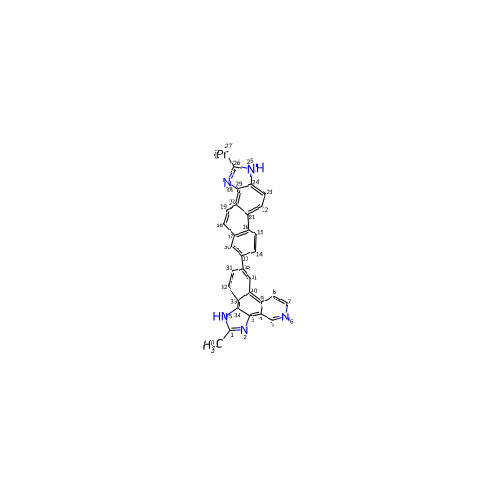 Cc1nc2c3cnccc3c3cc(-c4ccc5c(ccc6c5ccc5[nH]c(C(C)C)nc56)c4)ccc3c2[nH]1